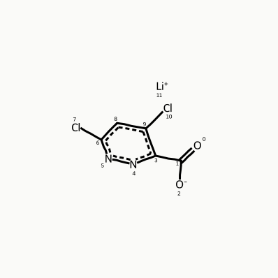 O=C([O-])c1nnc(Cl)cc1Cl.[Li+]